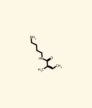 CC=C(C)C(=O)NCCCCN